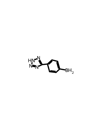 Bc1ccc(-c2nn[nH]n2)cc1